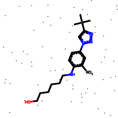 C[Si](C)(C)c1cn(-c2ccc(NCCCCCCO)c([N+](=O)[O-])c2)nn1